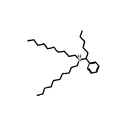 CCCCCCCCCC[SiH](CCCCCCCCCC)C(CCCCC)c1ccccc1